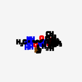 CNC(=N)NCCC[C@H](NC(=O)c1cccs1)C(=O)N[C@@H](CC(C)C)B1O[C@@H]2C[C@@H]3C[C@@H](C3(C)C)[C@]2(C)O1